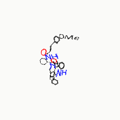 COc1ccc(C=CC(=O)N[C@@H]2CCCC[C@@H]2C(=O)N2CC[C@@H]3[C@H](c4ccccc4)Nc4ccccc4[C@@H]32)cc1